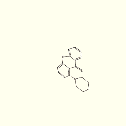 S=c1c2ccccc2oc2cccc(N3CCCCC3)c12